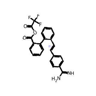 N=C(N)c1ccc(/C=C/c2ccccc2-c2ccccc2C(=O)OC(=O)C(F)(F)F)cc1